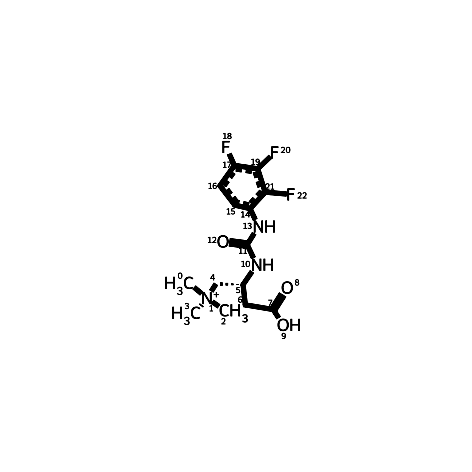 C[N+](C)(C)C[C@@H](CC(=O)O)NC(=O)Nc1ccc(F)c(F)c1F